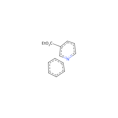 CCOC(=O)c1cccnc1.c1ccccc1